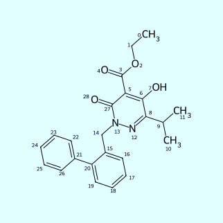 CCOC(=O)c1c(O)c(C(C)C)nn(Cc2ccccc2-c2ccccc2)c1=O